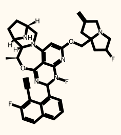 C#Cc1c(F)ccc2cccc(C3N=C4O[C@@H](C)[C@@H]5[C@@H]6CC[C@H](CN5c5cc(OCC78CC(=C)CN7CC(F)C8)nc(c54)N3F)N6)c12